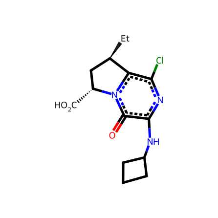 CC[C@@H]1C[C@@H](C(=O)O)n2c1c(Cl)nc(NC1CCC1)c2=O